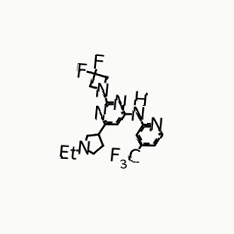 CCN1CCC(c2cc(Nc3cc(C(F)(F)F)ccn3)nc(N3CC(F)(F)C3)n2)C1